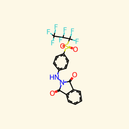 O=C1c2ccccc2C(=O)N1Nc1ccc(S(=O)(=O)C(F)(F)C(F)(F)C(F)(F)F)cc1